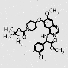 COC(=O)C(Nc1ncnc2cc(OC)c(OC3CCN(C(=O)OC(C)(C)C)CC3)cc12)c1cccc(Cl)c1